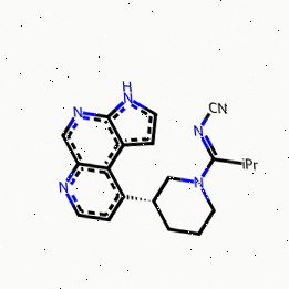 CC(C)C(=NC#N)N1CCC[C@H](c2ccnc3cnc4[nH]ccc4c23)C1